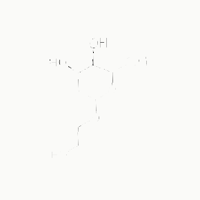 O=C(O)C1OC(OCCO)C[C@@H](O)C1O